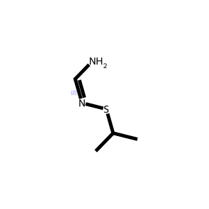 CC(C)S/N=C\N